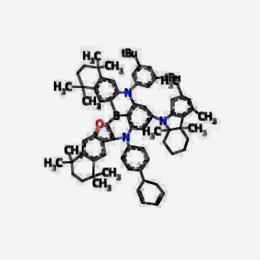 Cc1cc(C)c2c(c1)N(c1cc3c4c(c1)N(c1ccc(C5C=CC=CC5)cc1)c1c(oc5cc6c(cc15)C(C)(C)CCC6(C)C)B4c1cc4c(cc1N3c1cc(C(C)(C)C)cc(C(C)(C)C)c1)C(C)(C)CCC4(C)C)C1(C)CCCCC21C